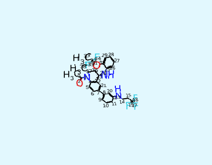 CC(=O)N1c2ccc(-c3cccc(NCCC(F)(F)F)c3)cc2[C@H](Nc2ccccc2OC(C)(F)F)C[C@@H]1C